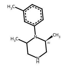 Cc1cccc(N2C(C)CNC[C@@H]2C)c1